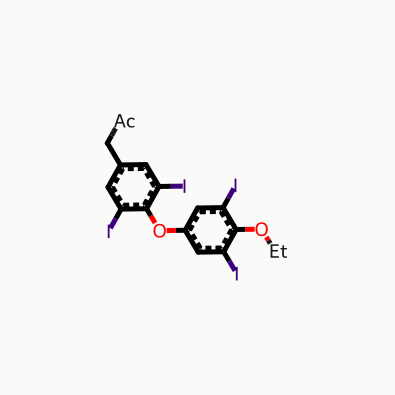 CCOc1c(I)cc(Oc2c(I)cc(CC(C)=O)cc2I)cc1I